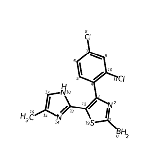 Bc1nc(-c2ccc(Cl)cc2Cl)c(-c2nc(C)c[nH]2)s1